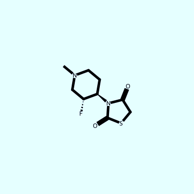 CN1CC[C@@H](N2C(=O)CSC2=O)[C@H](F)C1